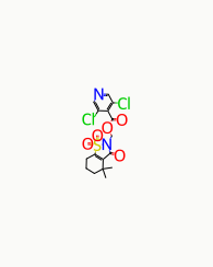 CC1(C)CCCC2=C1C(=O)N(COC(=O)c1c(Cl)cncc1Cl)S2(=O)=O